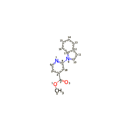 COC(=O)c1ccnc(-n2ccc3ccccc32)c1